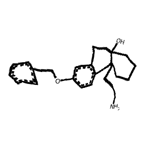 NCCC12CCCCC1(O)CCc1cc(OCc3ccccc3)ccc12